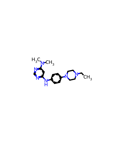 CCN1CCN(c2ccc(Nc3cc(N(C)C)ncn3)cc2)CC1